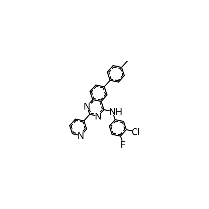 Cc1ccc(-c2ccc3nc(-c4cccnc4)nc(Nc4ccc(F)c(Cl)c4)c3c2)cc1